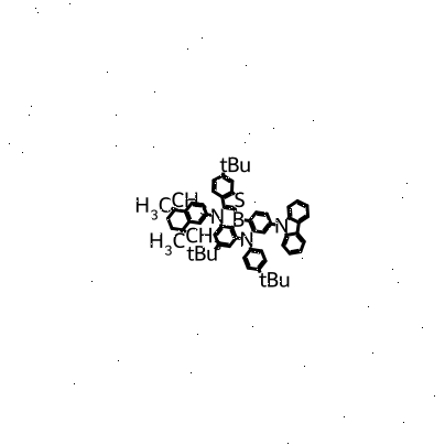 CC(C)(C)c1ccc(N2c3cc(-n4c5ccccc5c5ccccc54)ccc3B3c4sc5cc(C(C)(C)C)ccc5c4N(c4ccc5c(c4)C(C)(C)CCC5(C)C)c4cc(C(C)(C)C)cc2c43)cc1